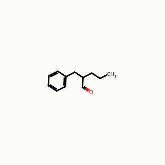 CCCC([CH]c1ccccc1)C=O